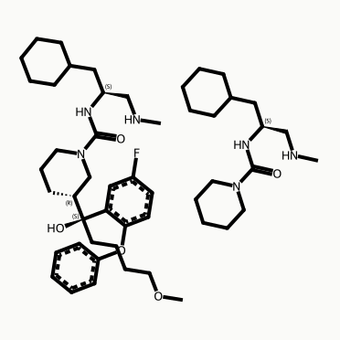 CNC[C@H](CC1CCCCC1)NC(=O)N1CCCCC1.CNC[C@H](CC1CCCCC1)NC(=O)N1CCC[C@@H]([C@@](O)(CCCCOC)c2cc(F)ccc2Oc2ccccc2)C1